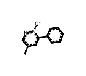 Cc1cn[n+]([O-])c(-c2ccccc2)c1